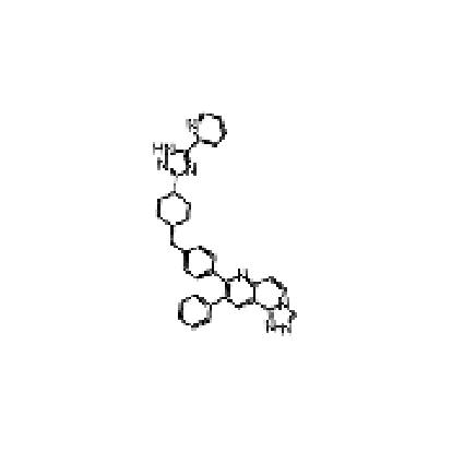 c1ccc(-c2cc3c(ccn4cnnc34)nc2-c2ccc(CC3CCC(c4n[nH]c(-c5ccccn5)n4)CC3)cc2)cc1